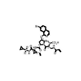 C=CC(=O)NC[C@@H](C(=O)N1C[C@H](Oc2nccc3ccc(Br)cc23)C[C@H]1C(=O)N[C@]1(C(=O)NS(=O)(=O)C2CC2)C[C@H]1C=C)N(C(=O)O)C(C)(C)C